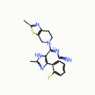 Cc1nc(-c2ccccc2F)c(/C(=N\C=N)N2CCc3nc(C)sc3C2)[nH]1